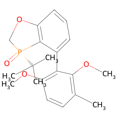 COc1ccc(C)c(OC)c1-c1cccc2c1[P@](=O)(C(C)(C)C)CO2